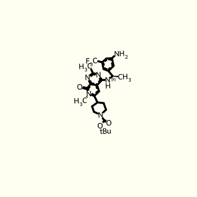 Cc1nc(N[C@H](C)c2cc(N)cc(C(F)(F)F)c2)c2cc(C3CCN(C(=O)OC(C)(C)C)CC3)n(C)c(=O)c2n1